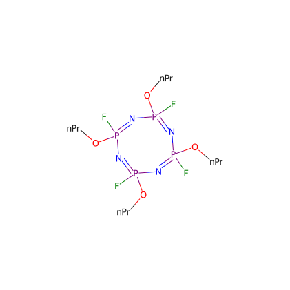 CCCOP1(F)=NP(F)(OCCC)=NP(F)(OCCC)=NP(F)(OCCC)=N1